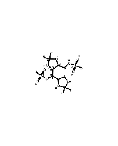 CC1(C)OCC([C@@H](OS(C)(=O)=O)[C@H]2OC(C)(C)OC2COS(C)(=O)=O)O1